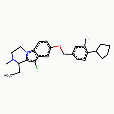 CN1CCn2c(c(Cl)c3cc(OCc4ccc(C5CCCC5)c(C(F)(F)F)c4)ccc32)C1CC(=O)O